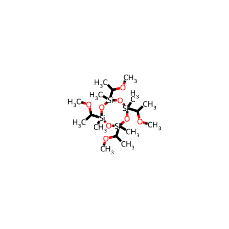 COC(C)[Si]1(C)O[Si](C)(C(C)OC)O[Si](C)(C(C)OC)O[Si](C)(C(C)OC)O1